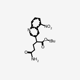 CC(C)(C)OC(=O)C(CCC(N)=O)c1cnc2cccc([N+](=O)[O-])c2c1